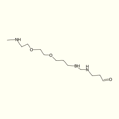 CNCCOCCOCCCBCNCCC=O